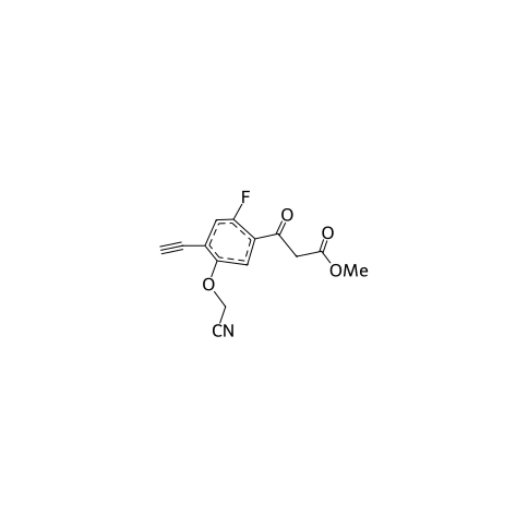 C#Cc1cc(F)c(C(=O)CC(=O)OC)cc1OCC#N